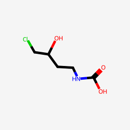 O=C(O)NCCC(O)CCl